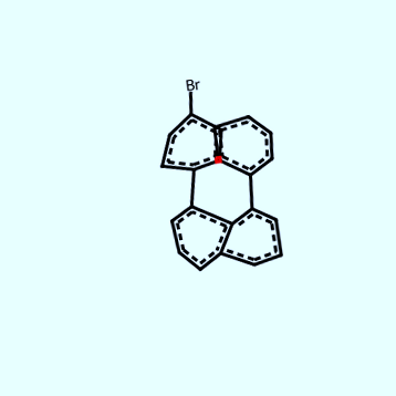 Brc1ccc(-c2cccc3cccc(-c4ccccc4)c23)cc1